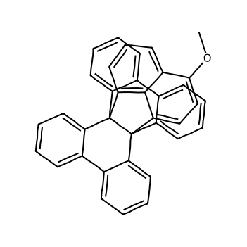 COc1ccc2c3c(cccc13)C13c4ccccc4-c4ccccc4C21c1ccccc1-c1ccccc13